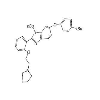 CCCCn1c(-c2ccccc2OCCN2CCCC2)nc2ccc(Oc3ccc(C(C)(C)C)cc3)cc21